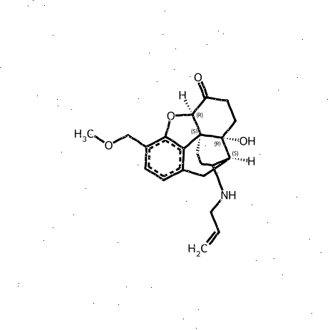 C=CCNC1CC[C@]23c4c5ccc(COC)c4O[C@H]2C(=O)CC[C@@]3(O)[C@H]1C5